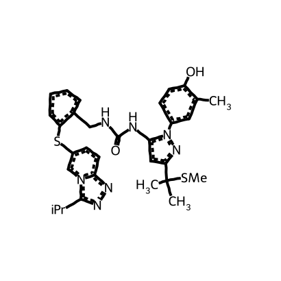 CSC(C)(C)c1cc(NC(=O)NCc2ccccc2Sc2ccc3nnc(C(C)C)n3c2)n(-c2ccc(O)c(C)c2)n1